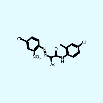 CC(=O)C(N=Nc1ccc(Cl)cc1[N+](=O)[O-])C(=O)Nc1ccc(Cl)cc1C